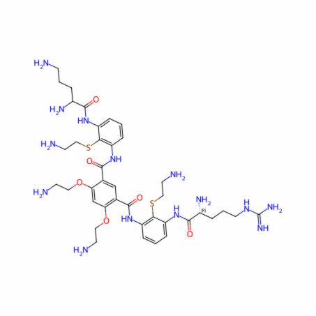 N=C(N)NCCC[C@@H](N)C(=O)Nc1cccc(NC(=O)c2cc(C(=O)Nc3cccc(NC(=O)C(N)CCCN)c3SCCN)c(OCCN)cc2OCCN)c1SCCN